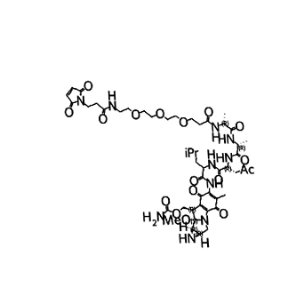 CO[C@@]12[C@@H]3N[C@@H]3CN1C1=C(C(=O)C(NC(=O)C(CC(C)C)NC(=O)[C@@H](CC(C)=O)NC(=O)[C@@H](C)NC(=O)[C@@H](C)NC(=O)CCOCCOCCOCCNC(=O)CCN3C(=O)C=CC3=O)=C(C)C1=O)[C@@H]2COC(N)=O